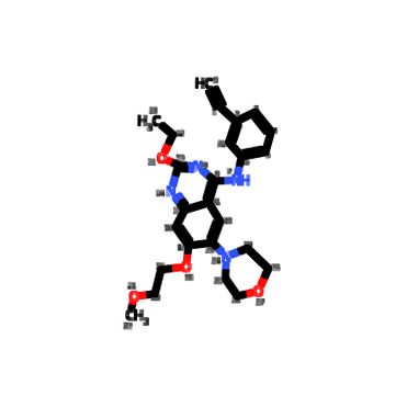 C#Cc1cccc(Nc2nc(OCC)nc3cc(OCCOC)c(N4CCOCC4)cc23)c1